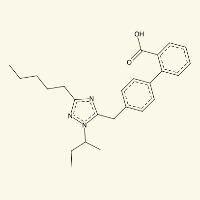 CCCCCc1nc(Cc2ccc(-c3ccccc3C(=O)O)cc2)n(C(C)CC)n1